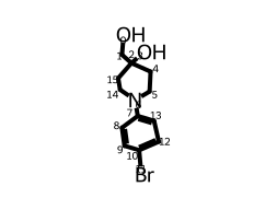 OCC1(O)CCN(c2ccc(Br)cc2)CC1